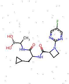 CC(NC(=O)[C@H](CC1CC1)NC(=O)[C@@H]1CCN1c1ncc(F)cn1)B(O)O